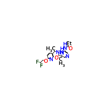 CCC(=O)NC1=CN=CC(C)(C(=O)NC(C)c2ccc(OCC(F)F)nc2)N1